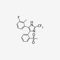 Cc1c(F)cccc1-c1[nH]c(C(F)(F)F)nc1-c1ccccc1S(C)(=O)=O